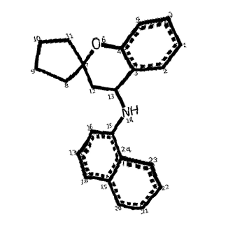 c1ccc2c(c1)OC1(CCCC1)CC2Nc1cccc2ccccc12